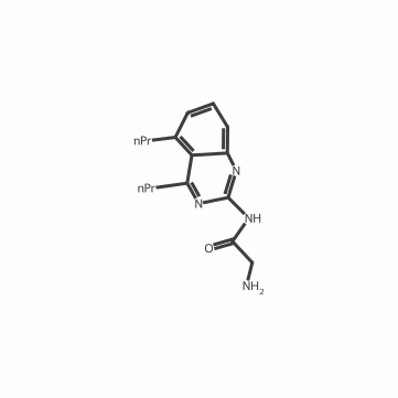 CCCc1cccc2nc(NC(=O)CN)nc(CCC)c12